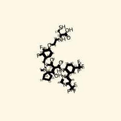 CN1N(Cc2ccc(OCCN[C@@H](CS)C(=O)O)c(F)c2F)C(=O)C(C(=O)Nc2ccc(C(F)(F)F)cc2-c2cc(C(F)(F)F)ncn2)=C(O)C12CCCC2